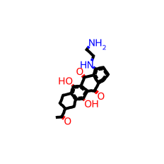 CC(=O)C1CCc2c(O)c3c(c(O)c2C1)C(=O)c1cccc(NCCN)c1C3=O